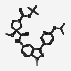 CO[C@@]1(C(=O)Nc2ccc3c(c2)c(-c2ccc(OC(C)C)nc2)nn3C)CCN(C(=O)OC(C)(C)C)C1